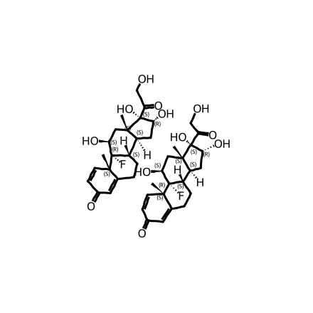 C[C@]12C=CC(=O)C=C1CC[C@H]1[C@@H]3C[C@@H](O)[C@](O)(C(=O)CO)[C@@]3(C)C[C@H](O)[C@@]12F.C[C@]12C=CC(=O)C=C1CC[C@H]1[C@@H]3C[C@@H](O)[C@](O)(C(=O)CO)[C@@]3(C)C[C@H](O)[C@@]12F